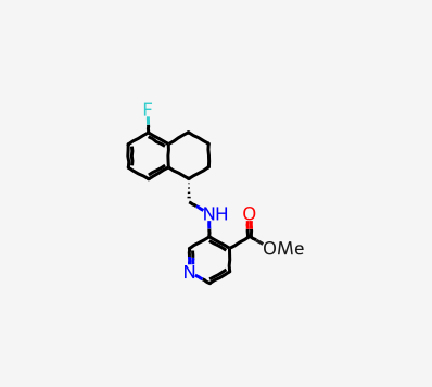 COC(=O)c1ccncc1NC[C@H]1CCCc2c(F)cccc21